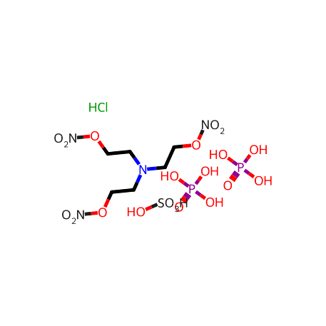 Cl.O=P(O)(O)O.O=P(O)(O)O.O=S(=O)(O)O.O=[N+]([O-])OCCN(CCO[N+](=O)[O-])CCO[N+](=O)[O-]